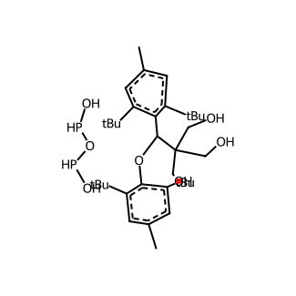 Cc1cc(C(C)(C)C)c(OC(c2c(C(C)(C)C)cc(C)cc2C(C)(C)C)C(CO)(CO)CO)c(C(C)(C)C)c1.OPOPO